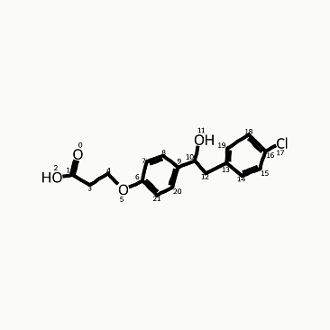 O=C(O)CCOc1ccc(C(O)Cc2ccc(Cl)cc2)cc1